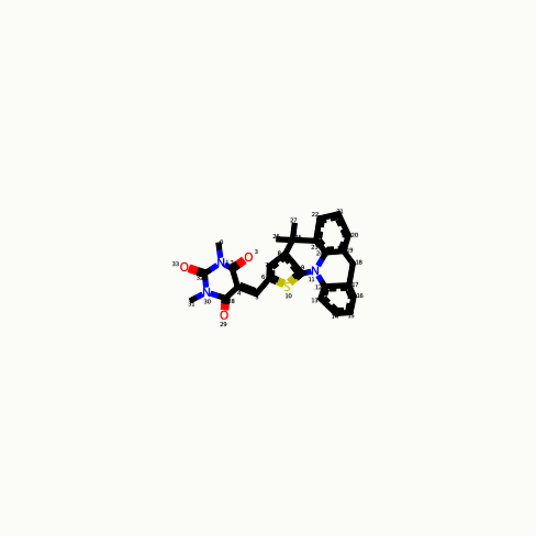 CN1C(=O)C(=Cc2cc3c(s2)N2c4ccccc4Cc4cccc(c42)C3(C)C)C(=O)N(C)C1=O